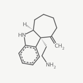 C=C1CCCC[C@@H]2Nc3ccccc3[C@]12CCN